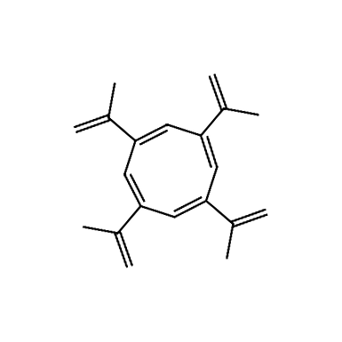 C=C(C)C1=C/C(C(=C)C)=C\C(C(=C)C)=C/C(C(=C)C)=C\1